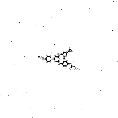 CCC(=O)Nc1ccc(Sc2nc(Nc3cc(C4CC4)n[nH]3)cc(N3CCN(CC)CC3)n2)cc1